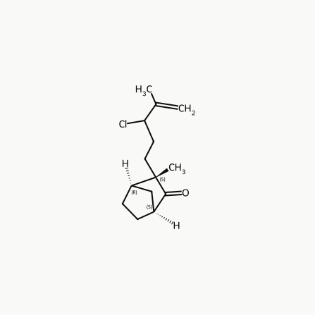 C=C(C)C(Cl)CC[C@]1(C)C(=O)[C@H]2CC[C@@H]1C2